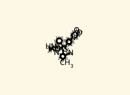 Cc1ccc(-c2nc([C@@H]3CCCC[C@H]3C(=O)NC3(C#N)CC3)c(-c3ccc(N4CCS(=O)(=O)CC4)cc3)s2)c(C#N)c1